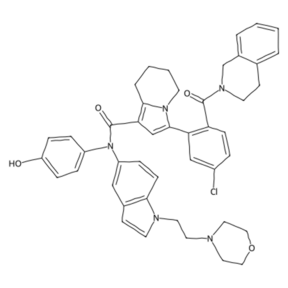 O=C(c1ccc(Cl)cc1-c1cc(C(=O)N(c2ccc(O)cc2)c2ccc3c(ccn3CCN3CCOCC3)c2)c2n1CCCC2)N1CCc2ccccc2C1